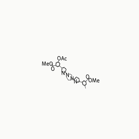 COC(=O)c1cc(C)cc(-c2ccc(N3CCCN(c4ccc(-c5cc(OC(C)=O)cc(C(=O)OC)c5)cn4)CC3)nc2)c1